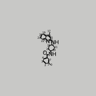 Cc1cccc(C(=O)NC2CCC(Nc3cc(C)c4ccccc4n3)CC2)c1